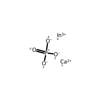 O=P([O-])([O-])[O-].[Ca+2].[In+3]